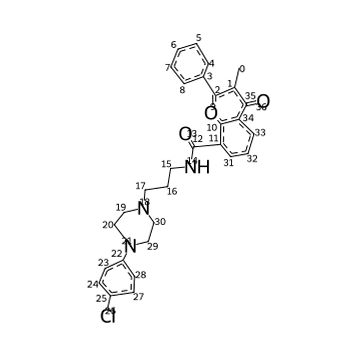 Cc1c(-c2ccccc2)oc2c(C(=O)NCCCN3CCN(c4ccc(Cl)cc4)CC3)cccc2c1=O